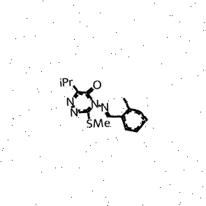 CSc1nnc(C(C)C)c(=O)n1N=Cc1ccccc1C